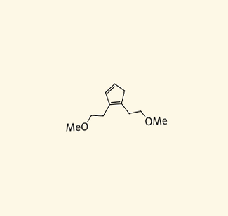 COCCC1=C(CCOC)CC=C1